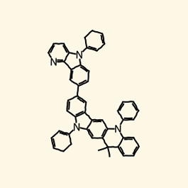 CC1(C)c2ccccc2N(c2ccccc2)c2cc3c4cc(-c5ccc6c(c5)c5ncccc5n6C5=CC=CCC5)ccc4n(C4=CC=CCC4)c3cc21